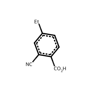 CCc1ccc(C(=O)O)c(C#N)c1